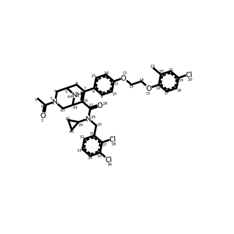 CC(=O)N1CC2CC(c3ccc(OCCOc4ccc(Cl)cc4C)cc3)=C(C(=O)N(Cc3cccc(Cl)c3Cl)C3CC3)C(C1)N2